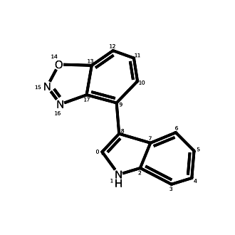 [c]1[nH]c2ccccc2c1-c1cccc2onnc12